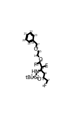 CC(C)(C)[S+]([O-])NC(CCCF)C(F)C(F)OCCOCc1ccccc1